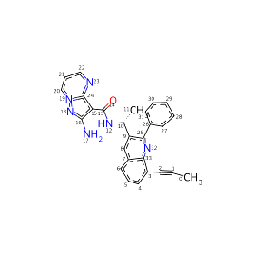 CC#Cc1cccc2cc([C@@H](C)NC(=O)c3c(N)nn4cccnc34)c(-c3ccccc3)nc12